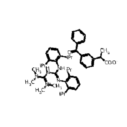 CC(C(=O)[O-])c1cccc(C(=O)c2ccccc2)c1.CC(C)c1cccc(C(C)C)c1N=C(NC(N(C)C)=[N+](C)C)Nc1c(C(C)C)cccc1C(C)C